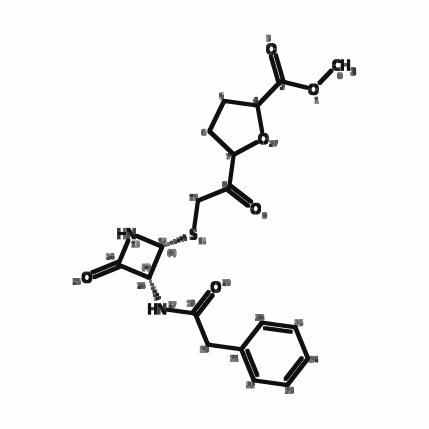 COC(=O)C1CCC(C(=O)CS[C@H]2NC(=O)[C@H]2NC(=O)Cc2ccccc2)O1